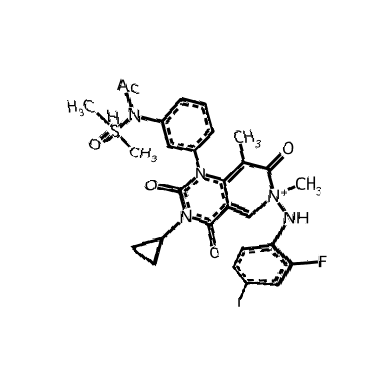 CC(=O)N(c1cccc(-n2c3c(c(=O)n(C4CC4)c2=O)=C[N+](C)(Nc2ccc(I)cc2F)C(=O)C=3C)c1)[SH](C)(C)=O